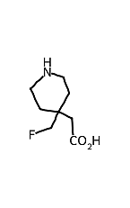 O=C(O)CC1(CF)CCNCC1